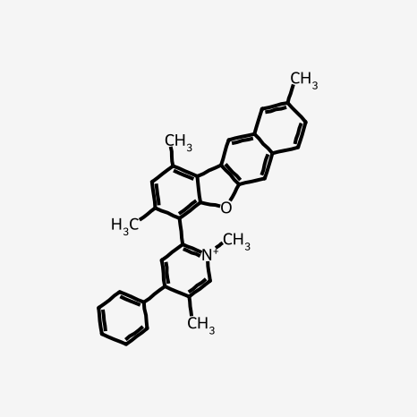 Cc1ccc2cc3oc4c(-c5cc(-c6ccccc6)c(C)c[n+]5C)c(C)cc(C)c4c3cc2c1